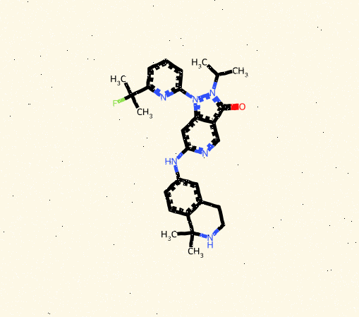 CC(C)n1c(=O)c2cnc(Nc3ccc4c(c3)CCNC4(C)C)cc2n1-c1cccc(C(C)(C)F)n1